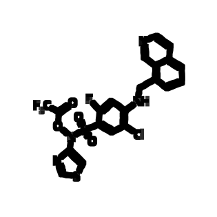 O=C(ON(c1cscn1)S(=O)(=O)c1cc(Cl)c(NCc2cccc3ccncc23)cc1F)C(F)(F)F